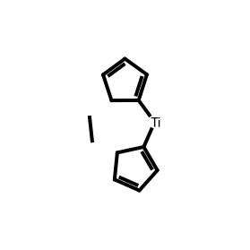 C1=CC[C]([Ti][C]2=CC=CC2)=C1.CC